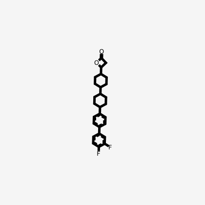 O=C1CC(C2CCC(C3CCC(c4ccc(-c5ccc(F)c(F)c5)cc4)CC3)CC2)O1